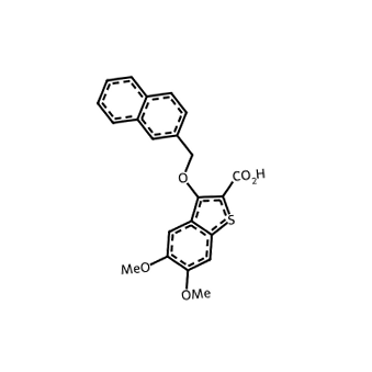 COc1cc2sc(C(=O)O)c(OCc3ccc4ccccc4c3)c2cc1OC